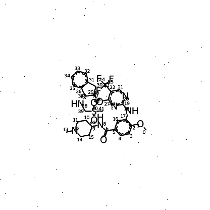 COc1ccc(C(=O)NC2CCN(C)CC2)cc1Nc1ncc(C(F)(F)F)c(O[C@@H]2Cc3ccccc3[C@H]2NCS(C)(=O)=O)n1